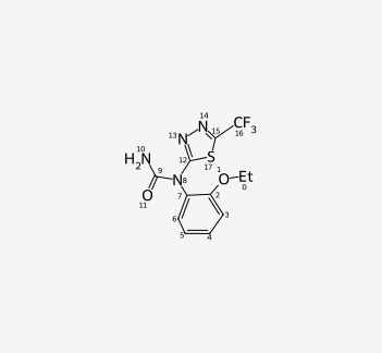 CCOc1ccccc1N(C(N)=O)c1nnc(C(F)(F)F)s1